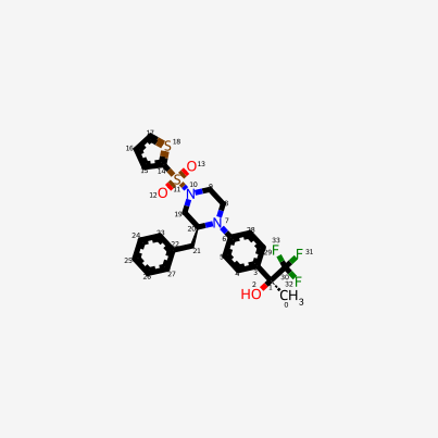 C[C@](O)(c1ccc(N2CCN(S(=O)(=O)c3cccs3)C[C@@H]2Cc2ccccc2)cc1)C(F)(F)F